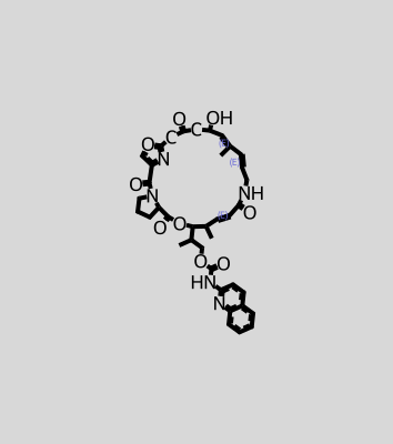 CC1=C\C(O)CC(=O)Cc2nc(co2)C(=O)N2CCCC2C(=O)OC(C(C)COC(=O)Nc2ccc3ccccc3n2)C(C)/C=C/C(=O)NC\C=C\1